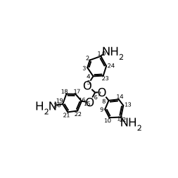 Nc1ccc(OC(Oc2ccc(N)cc2)Oc2ccc(N)cc2)cc1